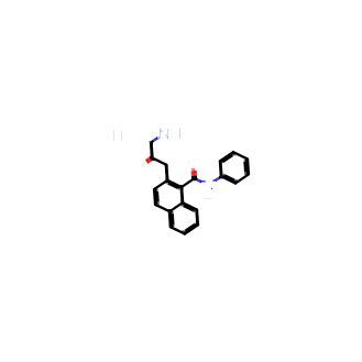 C[C@H](N)C(=O)Cc1ccc2ccccc2c1C(=O)Nc1ccccc1